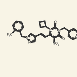 O=c1c([N+](=O)[O-])c(/C=C/c2cnn(Cc3ccccc3C(F)(F)F)c2)n(C2CCC2)c(=O)n1Cc1ccncc1